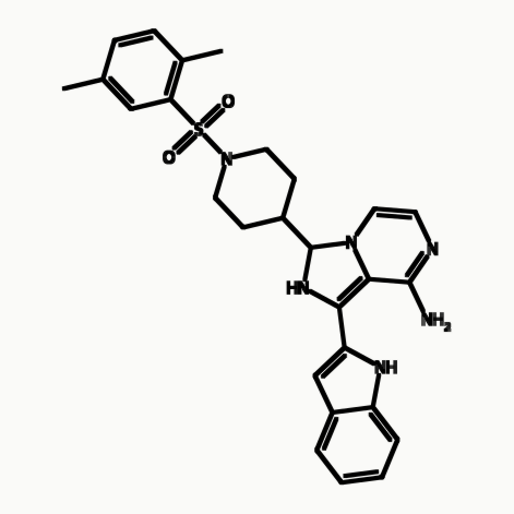 Cc1ccc(C)c(S(=O)(=O)N2CCC(C3NC(c4cc5ccccc5[nH]4)=C4C(N)=NC=CN43)CC2)c1